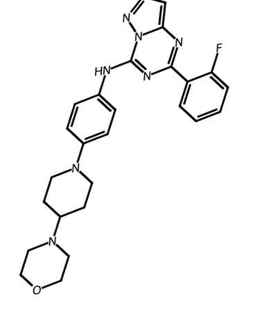 Fc1ccccc1-c1nc(Nc2ccc(N3CCC(N4CCOCC4)CC3)cc2)n2nccc2n1